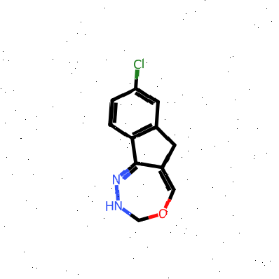 Clc1ccc2c(c1)CC1=COCNN=C12